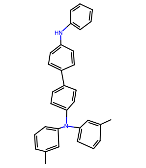 Cc1cccc(N(c2ccc(-c3ccc(Nc4ccccc4)cc3)cc2)c2cccc(C)c2)c1